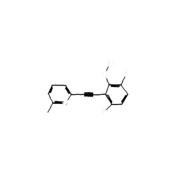 CCOc1c(F)ccc(F)c1C#Cc1cccc(C)n1